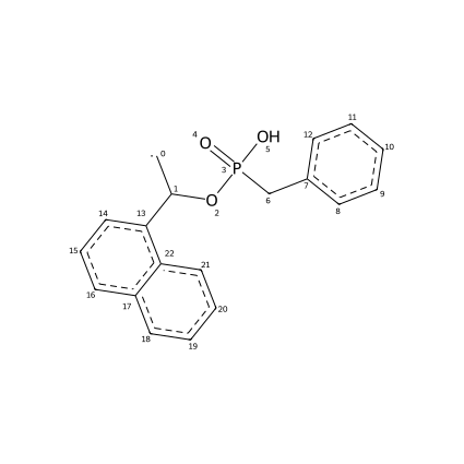 [CH2]C(OP(=O)(O)Cc1ccccc1)c1cccc2ccccc12